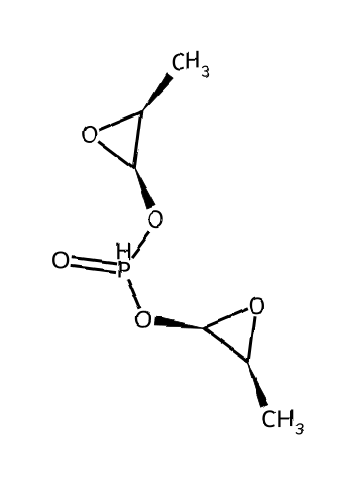 C[C@@H]1O[C@@H]1O[PH](=O)O[C@H]1O[C@H]1C